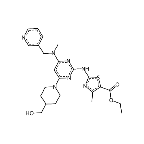 CCOC(=O)c1sc(Nc2nc(N(C)Cc3cccnc3)cc(N3CCC(CO)CC3)n2)nc1C